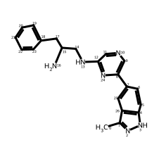 Cc1n[nH]c2ccc(-c3cncc(NCC(N)Cc4ccccc4)n3)cc12